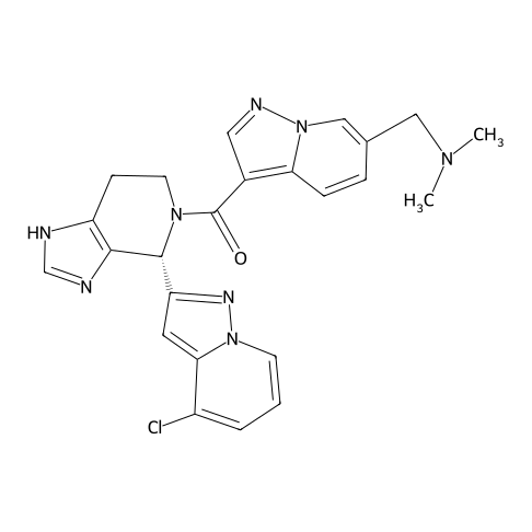 CN(C)Cc1ccc2c(C(=O)N3CCc4[nH]cnc4[C@H]3c3cc4c(Cl)cccn4n3)cnn2c1